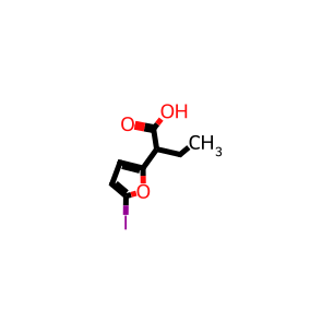 CCC(C(=O)O)c1ccc(I)o1